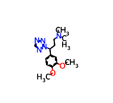 COc1ccc(C(CCN(C)C)n2ncnn2)cc1OC